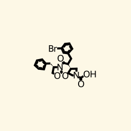 O=C(O)N1CC[C@H](C(Cc2cccc(Br)c2)C(=O)N2C(=O)OC[C@@H]2Cc2ccccc2)C1